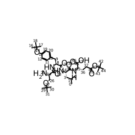 CC(C)C[C@H](NC(=O)[C@H](Cc1ccc(OC(C)(C)C)cc1)NC(=O)[C@@H](N)COC(C)(C)C)C(=O)N[C@@H](CCC(=O)OC(C)(C)C)C(=O)O